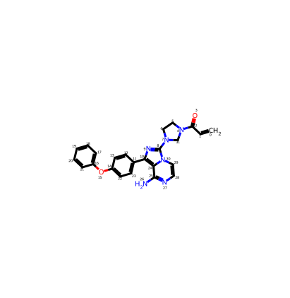 C=CC(=O)N1CCN(c2nc(-c3ccc(Oc4ccccc4)cc3)c3c(N)nccn23)C1